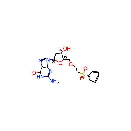 Nc1nc2c(ncn2[C@H]2C[C@H](O)[C@@H](COCCS(=O)(=O)c3ccccc3)O2)c(=O)[nH]1